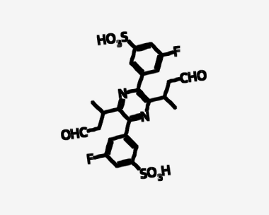 CC(CC=O)c1nc(-c2cc(F)cc(S(=O)(=O)O)c2)c(C(C)CC=O)nc1-c1cc(F)cc(S(=O)(=O)O)c1